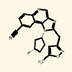 Cc1cc(Cc2nc3cnc4ccc(C#N)cc4c3n2[C@@H]2CC[C@H](F)C2)no1